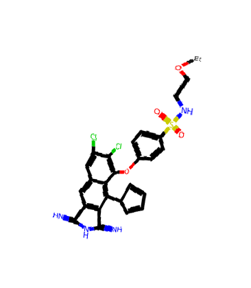 CCOCCNS(=O)(=O)c1ccc(Oc2c(Cl)c(Cl)cc3cc4c(c(C5C=CC=C5)c23)C(=N)NC4=N)cc1